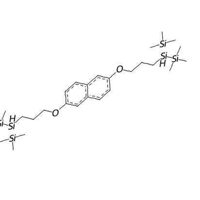 C[Si](C)(C)[SiH](CCCOc1ccc2cc(OCCC[SiH]([Si](C)(C)C)[Si](C)(C)C)ccc2c1)[Si](C)(C)C